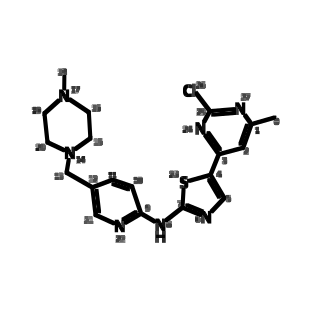 Cc1cc(-c2cnc(Nc3ccc(CN4CCN(C)CC4)cn3)s2)nc(Cl)n1